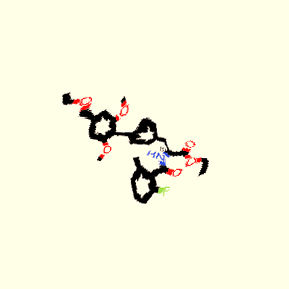 CCOCc1cc(OC)c(-c2ccc(C[C@H](NC(=O)c3c(C)cccc3F)C(=O)OCC)cc2)c(OC)c1